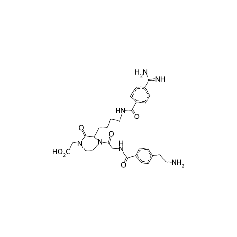 N=C(N)c1ccc(C(=O)NCCCCC2C(=O)N(CC(=O)O)CCN2C(=O)CNC(=O)c2ccc(CCN)cc2)cc1